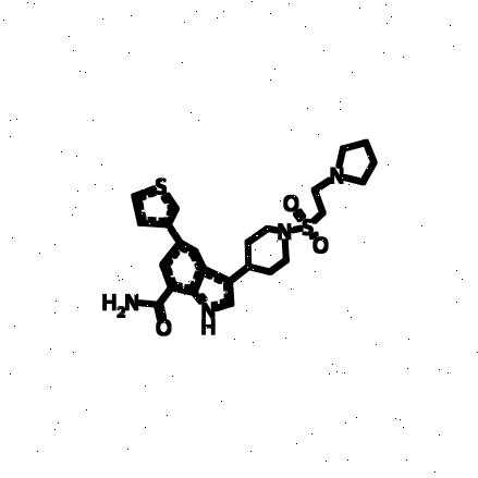 NC(=O)c1cc(-c2ccsc2)cc2c(C3CCN(S(=O)(=O)CCN4CCCC4)CC3)c[nH]c12